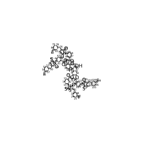 O=C(Oc1cc2c(cc1OC(=O)c1cccc(N3C(=O)/C(=C/c4cccc(F)c4)SC3=S)c1)[C@@H]1c3ccc(OC(=O)c4cccc(N5C(=O)/C(=C/c6cccc(F)c6)SC5=S)c4)c(OC(=O)c4cccc(N5C(=O)S/C(=C\c6cccc(F)c6)C5=O)c4)c3OC[C@]1(O)C2)c1cccc(N2C(=O)/C(=C/c3cccc(F)c3)SC2=S)c1